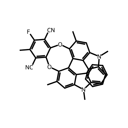 Cc1c(F)c(C#N)c2oc3c(C)cc4c(c5ccccc5n4C)c3c3c(oc2c1C#N)c(C)cc1c3c2ccccc2n1C